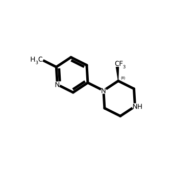 Cc1ccc(N2CCNC[C@@H]2C(F)(F)F)cn1